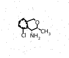 C[C@@H]1OCc2cccc(Cl)c2[C@H]1N